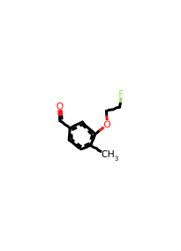 Cc1ccc(C=O)cc1OCCF